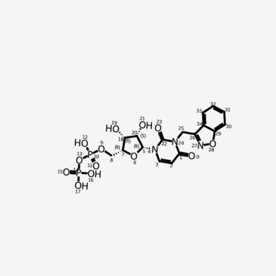 O=c1ccn([C@@H]2O[C@H](COP(=O)(O)OP(=O)(O)O)[C@H](O)[C@@H]2O)c(=O)n1Cc1noc2ccccc12